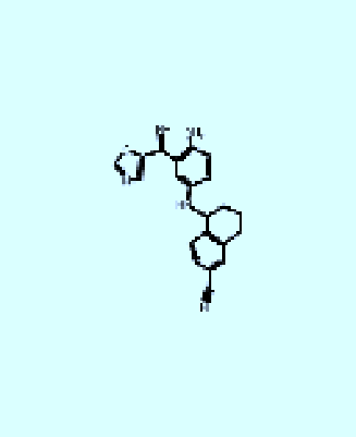 N#Cc1ccc2c(c1)CCCC2Nc1ccc(N)c(C(=N)c2cncs2)c1